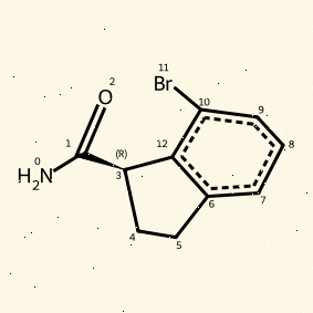 NC(=O)[C@@H]1CCc2cccc(Br)c21